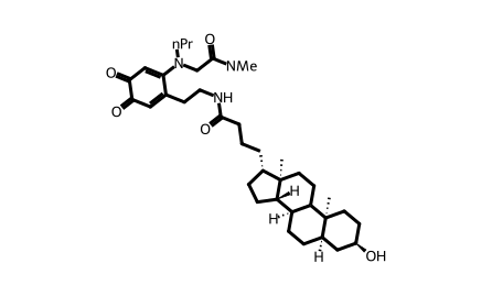 CCCN(CC(=O)NC)C1=CC(=O)C(=O)C=C1CCNC(=O)CCC[C@H]1CC[C@H]2[C@@H]3CC[C@@H]4C[C@H](O)CC[C@]4(C)C3CC[C@]12C